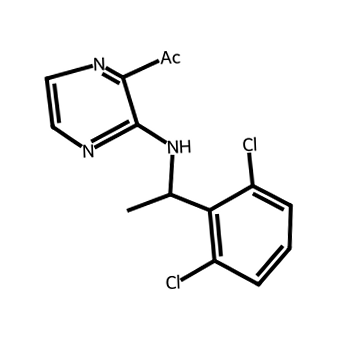 CC(=O)c1nccnc1NC(C)c1c(Cl)cccc1Cl